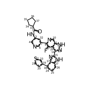 O=C(Nc1cncc(-c2ncc3[nH]nc(-c4nc5c(-c6ccsc6)cccc5[nH]4)c3c2F)c1)C1CCCC1